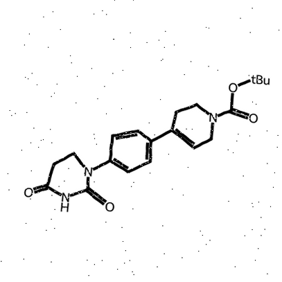 CC(C)(C)OC(=O)N1CC=C(c2ccc(N3CCC(=O)NC3=O)cc2)CC1